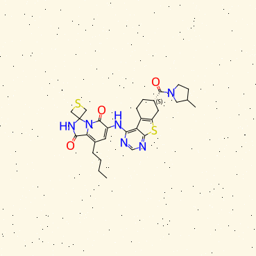 CCCCc1cc(Nc2ncnc3sc4c(c23)CC[C@H](C(=O)N2CCC(C)C2)C4)c(=O)n2c1C(=O)NC21CSC1